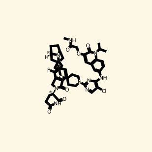 CNC(=O)COc1cc2cc(Nc3nc(N4CCC(OC5CC(N6C7CC[C@@H]6CN(c6ccc8c(c6F)CN([C@@H]6CCC(=O)NC6=O)C8=O)C7)C5)CC4)ncc3Cl)ccc2n(C(C)C)c1=O